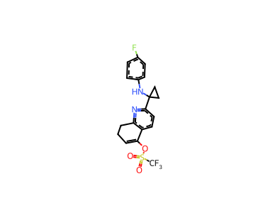 O=S(=O)(OC1=CCCc2nc(C3(Nc4ccc(F)cc4)CC3)ccc21)C(F)(F)F